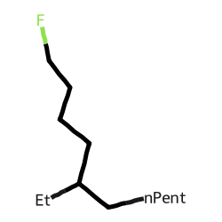 CCCCCCC(CC)CCCCF